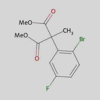 COC(=O)C(C)(C(=O)OC)c1cc(F)ccc1Br